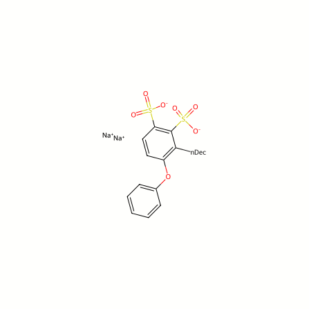 CCCCCCCCCCc1c(Oc2ccccc2)ccc(S(=O)(=O)[O-])c1S(=O)(=O)[O-].[Na+].[Na+]